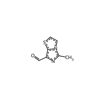 Cc1nc(C=O)c2sccn12